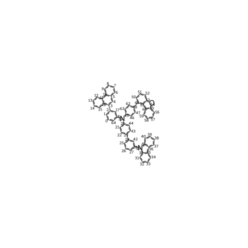 c1cc(-c2cc3ccccc3c3ccccc23)cc(N(c2ccc(-c3cccc(-n4c5ccccc5c5ccccc54)c3)cc2)c2ccc(-c3cccc4oc5ccccc5c34)cc2)c1